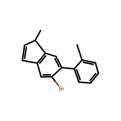 Cc1ccccc1-c1cc2c(cc1Br)C=CC2C